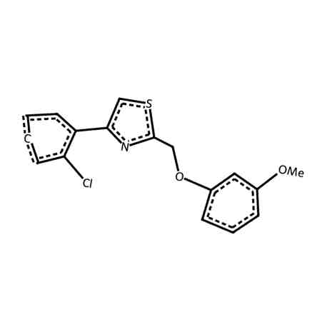 COc1cccc(OCc2nc(-c3ccccc3Cl)cs2)c1